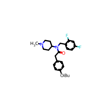 CC(C)COc1ccc(CC(=O)N(Cc2ccc(F)cc2F)C2CCN(C)CC2)cc1